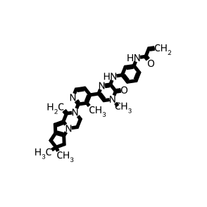 C=CC(=O)Nc1cccc(Nc2nc(-c3ccnc(N4CCn5c(cc6c5CC(C)(C)C6)C4=C)c3C)cn(C)c2=O)c1